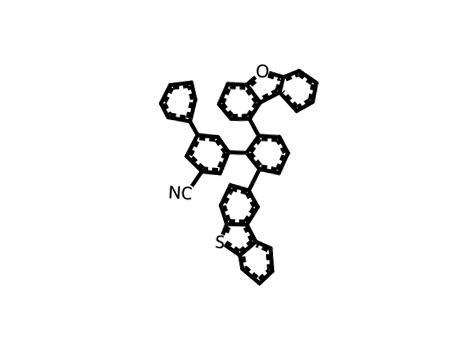 N#Cc1cc(-c2ccccc2)cc(-c2c(-c3ccc4sc5ccccc5c4c3)cccc2-c2cccc3oc4ccccc4c23)c1